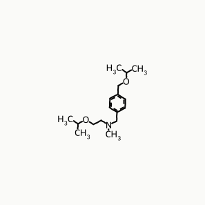 CC(C)OCCN(C)Cc1ccc(COC(C)C)cc1